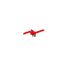 CCCCCCCCCCC/C=C/CCCc1ccccc1/N=C(CCCCCC)\C(CCCC)=N\c1ccccc1CCC/C=C/CCCCCCCCCCC.[Ni]